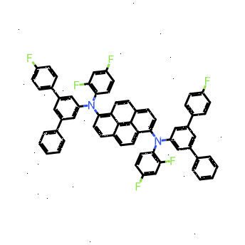 Fc1ccc(-c2cc(-c3ccccc3)cc(N(c3ccc(F)cc3F)c3ccc4ccc5c(N(c6cc(-c7ccccc7)cc(-c7ccc(F)cc7)c6)c6ccc(F)cc6F)ccc6ccc3c4c65)c2)cc1